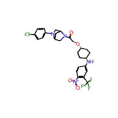 O=C(CO[C@H]1CC[C@H](Nc2ccc([N+](=O)[O-])c(C(F)(F)F)c2)CC1)N1CC2CC1CN2c1ccc(Cl)cc1